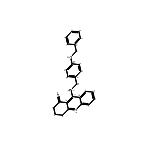 O=C1CCCc2nc3ccccc3c(NCc3ccc(OCc4ccccc4)cc3)c21